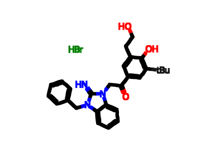 Br.CC(C)(C)c1cc(C(=O)Cn2c(=N)n(Cc3ccccc3)c3ccccc32)cc(CCO)c1O